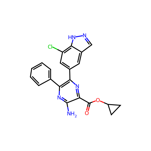 Nc1nc(-c2ccccc2)c(-c2cc(Cl)c3[nH]ncc3c2)nc1C(=O)OC1CC1